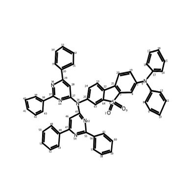 O=S1(=O)c2cc(N(c3ccccc3)c3ccccc3)ccc2-c2ccc(N(c3cc(-c4ccccc4)nc(-c4ccccc4)n3)c3cc(-c4ccccc4)nc(-c4ccccc4)n3)cc21